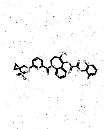 C=C(SC1=C(C)CCN(C(=O)c2cccc(NCC3(S(C)(=O)=O)CC3)n2)c2ccccc21)C(=O)Nc1c(C)cccc1F